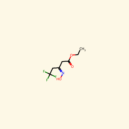 CCOC(=O)CC(CC(F)(F)F)=NO